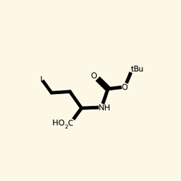 CC(C)(C)OC(=O)NC(CCI)C(=O)O